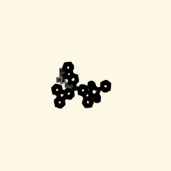 CC1C2=C(C=CC1N(c1ccc3c(c1)-c1ccccc1C31c3ccccc3N(c3ccccc3)c3ccccc31)c1ccc3c4ccccc4c4ccccc4c3c1)c1ccccc1C2(C)C